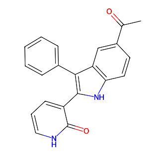 CC(=O)c1ccc2[nH]c(-c3ccc[nH]c3=O)c(-c3ccccc3)c2c1